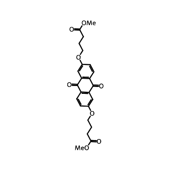 COC(=O)CCCOc1ccc2c(c1)C(=O)c1ccc(OCCCC(=O)OC)cc1C2=O